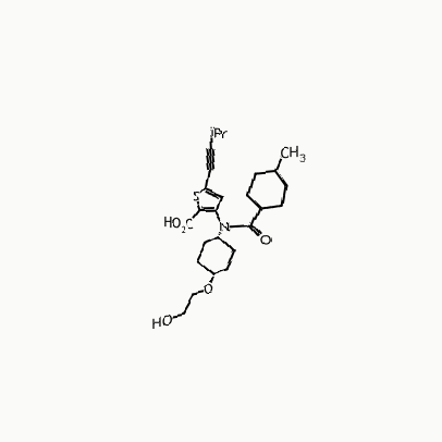 CC(C)C#Cc1cc(N(C(=O)C2CCC(C)CC2)[C@H]2CC[C@H](OCCO)CC2)c(C(=O)O)s1